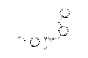 CCCOc1ccc(C(C)(CC)COCc2cccc(Oc3ccccc3)c2)cc1